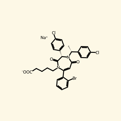 C[C@H](c1ccc(Cl)cc1)N1C(=O)C=C(c2ccccc2Br)N(CCCCC(=O)[O-])C(=O)[C@@H]1c1ccc(Cl)cc1.[Na+]